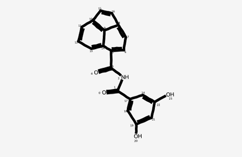 O=C(NC(=O)c1ccc2c3c(cccc13)C=C2)c1cc(O)cc(O)c1